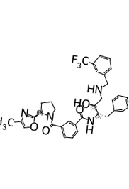 Cc1coc([C@H]2CCCN2C(=O)c2cccc(C(=O)N[C@@H](Cc3ccccc3)[C@@H](O)CNCc3cccc(C(F)(F)F)c3)c2)n1